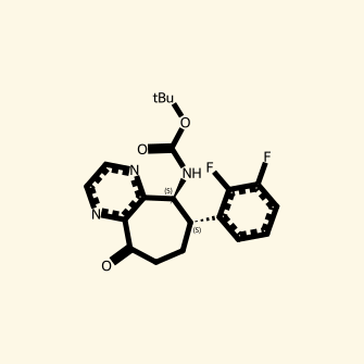 CC(C)(C)OC(=O)N[C@@H]1c2nccnc2C(=O)CC[C@H]1c1cccc(F)c1F